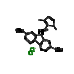 CC1=[C]([Hf+2][CH]2c3cc(C(C)(C)C)ccc3-c3ccc(C(C)(C)C)cc32)C(C)C=C1.[Cl-].[Cl-]